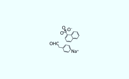 O=CCc1ccccc1.O=S(=O)([O-])c1cccc2ccccc12.[Na+]